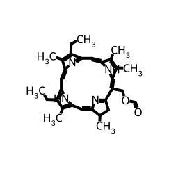 CCC1=C(C)c2cc3[nH]c(cc4nc(c(COC=O)c5[nH]c(cc1n2)c(C)c5C)CC4C)c(C)c3CC